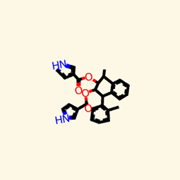 Cc1ccccc1C1c2ccccc2C(C)C(OC(=O)c2cc[nH]c2)C1OC(=O)c1cc[nH]c1